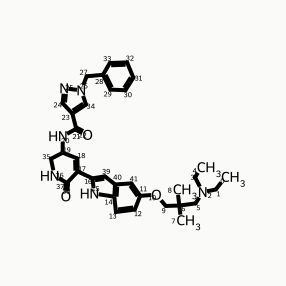 CCN(CC)CC(C)(C)COc1ccc2[nH]c(C3=CC(NC(=O)c4cnn(Cc5ccccc5)c4)CNC3=O)cc2c1